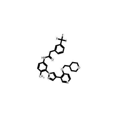 Cc1ccc(NC(=O)Cc2cccc(C(F)(F)F)c2)cc1-n1cc(-c2cnccc2OCC2CCOCC2)cn1